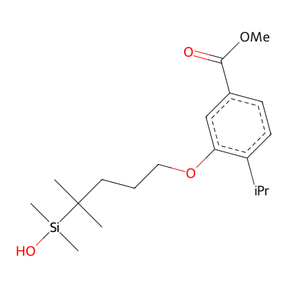 COC(=O)c1ccc(C(C)C)c(OCCCC(C)(C)[Si](C)(C)O)c1